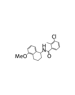 COc1cccc2c1CCCC2NC(=O)c1cccc(Cl)c1C